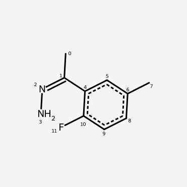 C/C(=N/N)c1cc(C)ccc1F